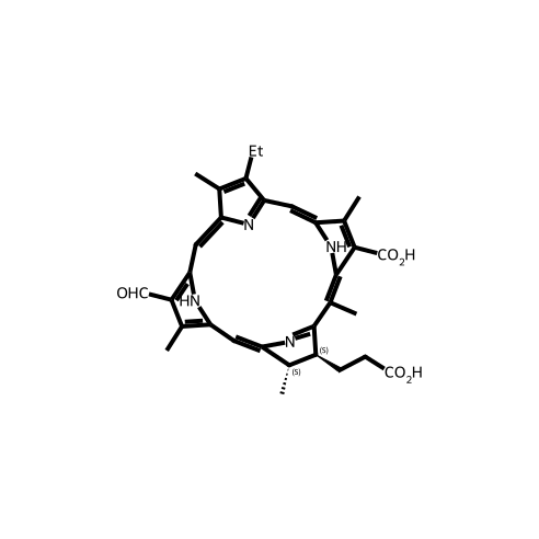 CCC1=C(C)c2cc3[nH]c(cc4nc(c(C)c5[nH]c(cc1n2)c(C)c5C(=O)O)[C@@H](CCC(=O)O)[C@@H]4C)c(C)c3C=O